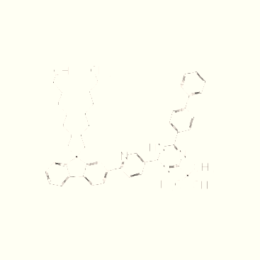 CCCCCCCCC1(CCCCCCCC)c2ccccc2-c2ccc(-c3ccc(C4N=C(C(C)(C)C)N=C(c5ccc(-c6ccccc6)cc5)N4)cn3)cc21